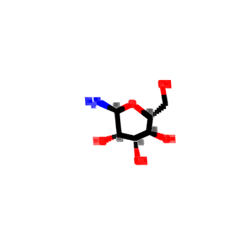 N[C@H]1O[C@H](CO)[C@@H](O)[C@H](O)[C@@H]1O